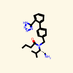 CCCC(=O)N(Cc1ccc(-c2ccccc2-c2nnn[nH]2)cc1)[C@H](CN)C(C)C